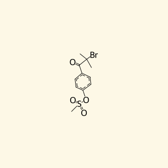 CC(C)(Br)C(=O)c1ccc(OS(C)(=O)=O)cc1